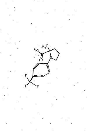 CC1(C(=O)O)CCCN1c1ccc(C(F)(F)F)cc1